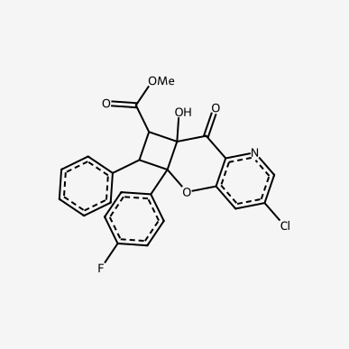 COC(=O)C1C(c2ccccc2)C2(c3ccc(F)cc3)Oc3cc(Cl)cnc3C(=O)C12O